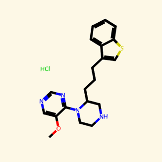 COc1cncnc1N1CCNCC1CCCc1csc2ccccc12.Cl